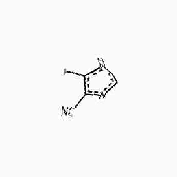 N#Cc1nc[nH]c1I